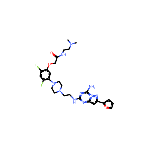 CN(C)CCNC(=O)COc1cc(N2CCN(CCNc3nc(N)n4nc(-c5ccco5)cc4n3)CC2)c(F)cc1F